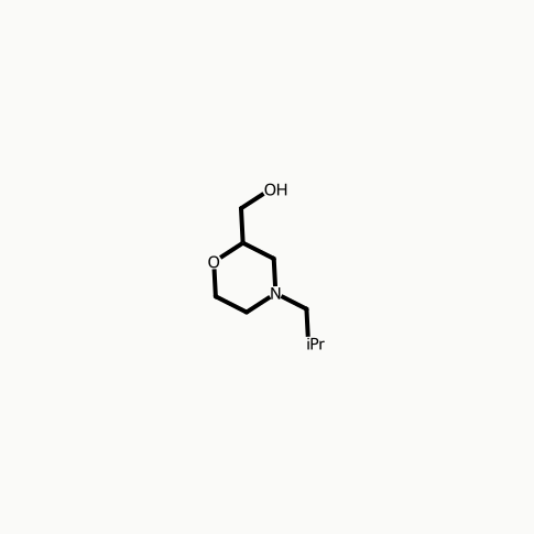 CC(C)CN1CCOC(CO)C1